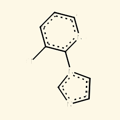 Clc1[c]ccnc1-n1ccnc1